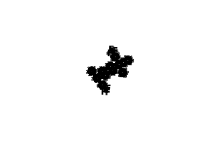 FC(F)(F)c1ccc(-c2ccc(-c3ccccc3)c3c2-c2ccc4c5ccc6c7c(ccc(c8ccc-3c2c48)c75)-c2c-6c(-c3ccccc3)c3cc4ccccc4cc3c2-c2ccc(C(F)(F)F)cc2)cc1